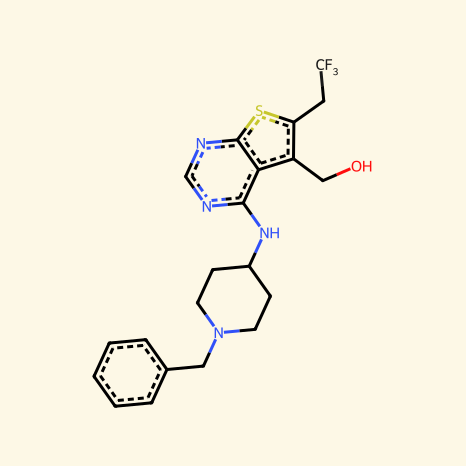 OCc1c(CC(F)(F)F)sc2ncnc(NC3CCN(Cc4ccccc4)CC3)c12